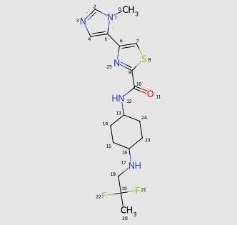 Cn1cncc1-c1csc(C(=O)NC2CCC(NCC(C)(F)F)CC2)n1